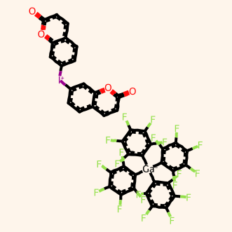 Fc1c(F)c(F)[c]([Ga-]([c]2c(F)c(F)c(F)c(F)c2F)([c]2c(F)c(F)c(F)c(F)c2F)[c]2c(F)c(F)c(F)c(F)c2F)c(F)c1F.O=c1ccc2ccc([I+]c3ccc4ccc(=O)oc4c3)cc2o1